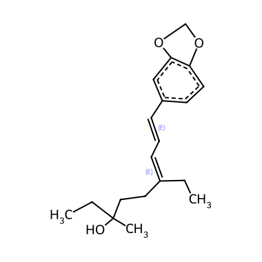 CC/C(=C\C=C\c1ccc2c(c1)OCO2)CCC(C)(O)CC